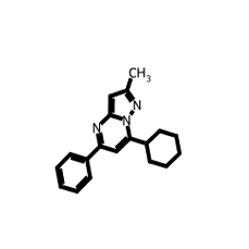 Cc1cc2nc(-c3ccccc3)cc(C3CCCCC3)n2n1